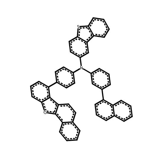 c1cc(-c2cccc3ccccc23)cc(N(c2ccc(-c3cccc4oc5c6ccccc6ccc5c34)cc2)c2ccc3sc4ccccc4c3c2)c1